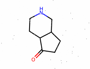 O=C1CCC2CNCCC12